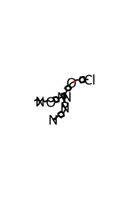 CCN(CC)CCCOc1ccc(-n2cc(-c3ccc(OCCc4ccc(Cl)cc4)cc3)nc2C2CCN(Cc3ccc(C#N)cc3)CC2)cc1